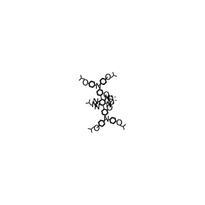 CC(C)COc1ccc(N(c2ccc(OCC(C)C)cc2)c2ccc(-c3c([N+](=O)[O-])c([N+](=O)[O-])c(-c4ccc(N(c5ccc(OCC(C)C)cc5)c5ccc(OCC(C)C)cc5)cc4)c4nn(CC(C)C)nc34)cc2)cc1